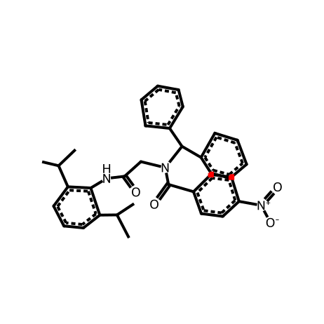 CC(C)c1cccc(C(C)C)c1NC(=O)CN(C(=O)c1ccc([N+](=O)[O-])cc1)C(c1ccccc1)c1ccccc1